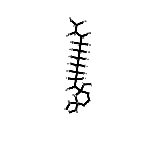 COC1(C(F)C(F)(F)C(F)(F)C(F)(F)C(F)(F)C(F)(F)C(F)(F)C(F)C(F)C(F)F)CCC[Si](OC)(OC)O1